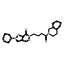 O=C(CCCn1ncc2cn(-c3ccccc3)nc2c1=O)N1CCc2ccccc2C1